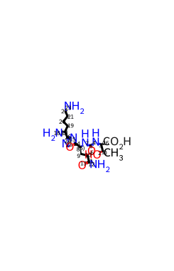 CC(O)C(NC(=O)N[C@@H](CCC(N)=O)c1nc([C@@H](N)CCCCN)no1)C(=O)O